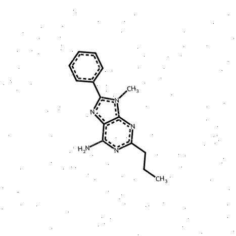 CCCc1nc(N)c2nc(-c3ccccc3)n(C)c2n1